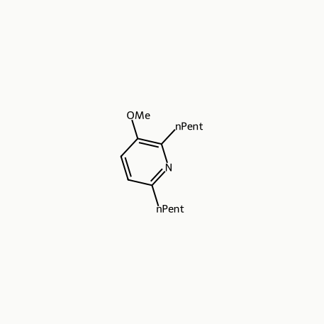 CCCCCc1ccc(OC)c(CCCCC)n1